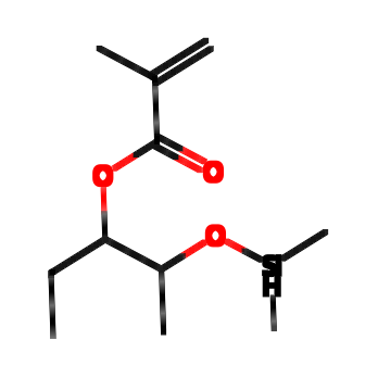 C=C(C)C(=O)OC(CC)C(C)O[SiH](C)C